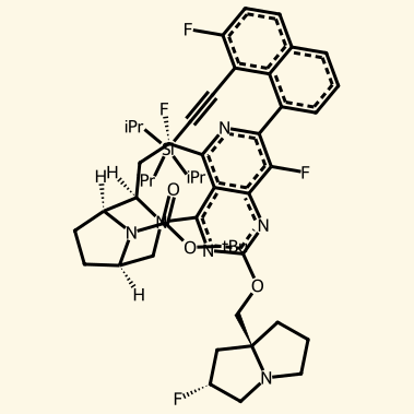 CC(C)[Si](C#Cc1c(F)ccc2cccc(-c3nc4c5c(nc(OC[C@@]67CCCN6C[C@H](F)C7)nc5c3F)N3C[C@H]5CC[C@@H]([C@H]3C[C@@H]4F)N5C(=O)OC(C)(C)C)c12)(C(C)C)C(C)C